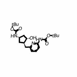 CC(C)(C)OC(=O)Nc1cccc(C[C@H]2C[C@H](NC(=O)OC(C)(C)C)C[C@@H]2O)n1